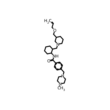 C=CCOCC1CCCN(CC2CCCCC2NC(=O)c2ccc(CN3CCN(C)CC3)cc2)C1